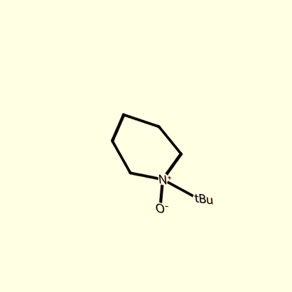 CC(C)(C)[N+]1([O-])CCCCC1